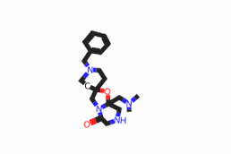 CN(C)CC12CNCC(=O)N1CC1(CCN(Cc3ccccc3)CC1)O2